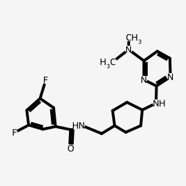 CN(C)c1ccnc(NC2CCC(CNC(=O)c3cc(F)cc(F)c3)CC2)n1